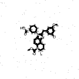 COC(=O)N1c2ccc3c(nc(Cc4cc(Cl)cc(OC)c4)n3[C@@H]3CCC[C@@H](C(=O)O)C3)c2CC[C@@H]1C